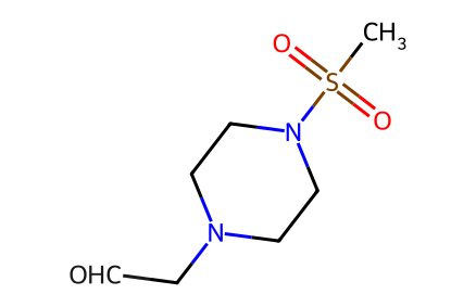 CS(=O)(=O)N1CCN(CC=O)CC1